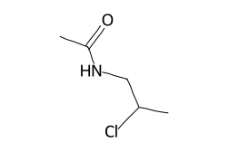 CC(=O)NCC(C)Cl